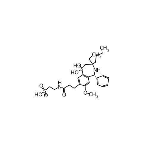 CCCC[C@]1(CC)CS(O)(O)c2cc(CCC(=O)NCCS(=O)(=O)O)c(OC)cc2[C@@H](c2ccccc2)N1